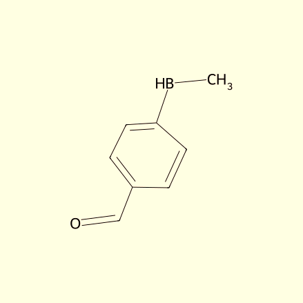 CBc1ccc(C=O)cc1